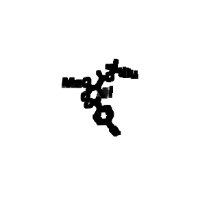 C#Cc1ccc(C(=O)N[C@@H](C(=O)OC)[C@@H](C)O[Si](C)(C)C(C)(C)C)cc1